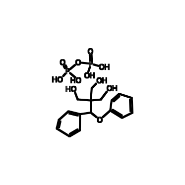 O=P(O)(O)OP(=O)(O)O.OCC(CO)(CO)C(Oc1ccccc1)c1ccccc1